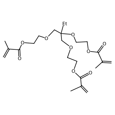 C=C(C)C(=O)OCCOCC(CC)(COCCOC(=O)C(=C)C)OCCOC(=O)C(=C)C